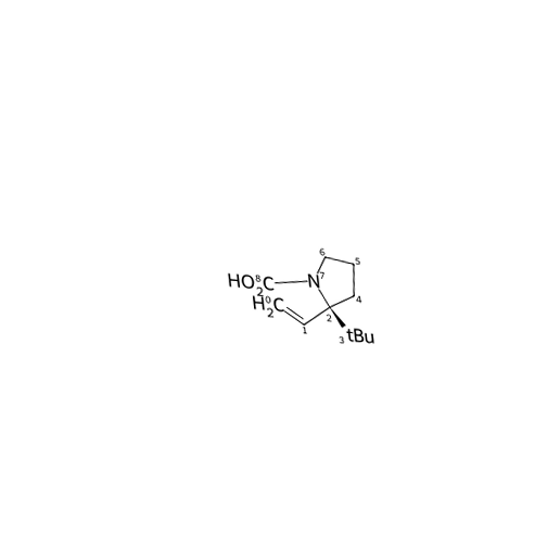 C=C[C@@]1(C(C)(C)C)CCCN1C(=O)O